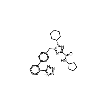 O=C(NC1CCCC1)c1nc(Cc2ccc(-c3ccccc3-c3nnn[nH]3)cc2)n(C2CCCCC2)n1